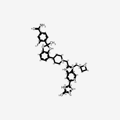 CC1(c2ccc(C(N)=O)cc2F)Oc2cccc(C3CCN(Cc4nc5cc(-c6noc(=O)[nH]6)ncc5n4C[C@@H]4CCO4)CC3)c2O1